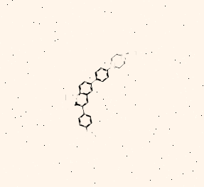 CC(C)N1CCN(c2ccc(-c3ccc4[nH]c(=O)c(-c5ccc(C#N)cc5)cc4c3)cc2)CC1